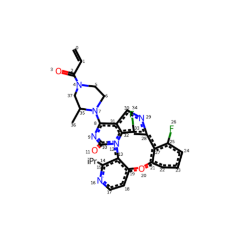 C=CC(=O)N1CCN(c2nc(=O)n3c4c(C(C)C)nccc4oc4cccc(F)c4c4ncc2c3c4F)C(C)C1